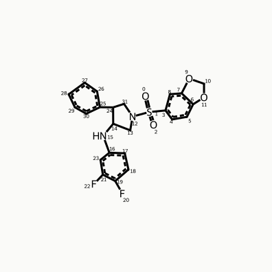 O=S(=O)(c1ccc2c(c1)OCO2)N1CC(Nc2ccc(F)c(F)c2)C(c2ccccc2)C1